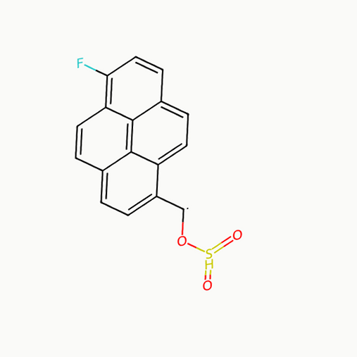 O=[SH](=O)O[CH]c1ccc2ccc3c(F)ccc4ccc1c2c43